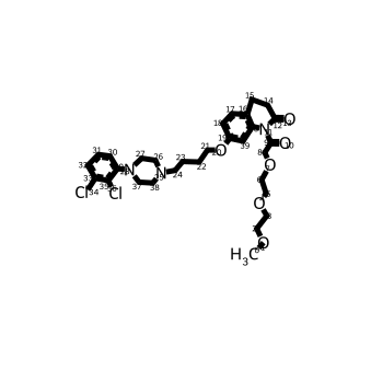 COCCOCCOCC(=O)N1C(=O)CCc2ccc(OCCCCN3CCN(c4cccc(Cl)c4Cl)CC3)cc21